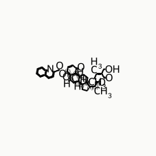 CC1=C(CO)C(=O)O[C@@H]([C@@H](C)[C@H]2CC[C@H]3[C@@H]4C[C@H]5O[C@]56[C@@H](OC(=O)c5ccc7ccccc7n5)C=CC(=O)[C@]6(C)[C@H]4CC[C@]23C)C1